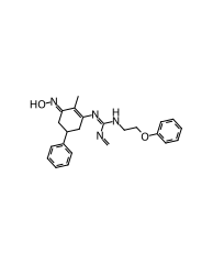 C=N/C(=N\C1=C(C)C(=N/O)/CC(c2ccccc2)C1)NCCOc1ccccc1